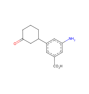 Nc1cc(C(=O)O)cc(C2CCCC(=O)C2)c1